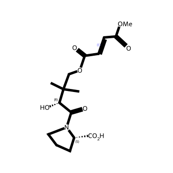 COC(=O)/C=C/C(=O)OCC(C)(C)[C@@H](O)C(=O)N1CCC[C@H]1C(=O)O